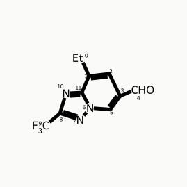 CCc1cc(C=O)cn2nc(C(F)(F)F)nc12